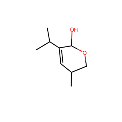 CC1C=C(C(C)C)C(O)OC1